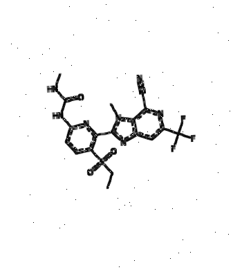 CCS(=O)(=O)c1ccc(NC(=O)NC)nc1-c1nc2cc(C(F)(F)F)nc(C#N)c2n1C